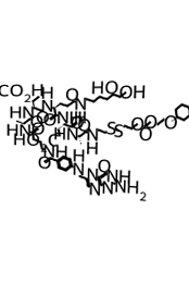 C[C@H](NC(=O)CCCNC(=O)c1ccc(NCc2cnc3nc(N)[nH]c(=O)c3n2)cc1)C(=O)N[C@@H](CCC(=O)O)C(=O)N[C@@H](CCC(=O)NCCCC[C@H](O)CO)C(=O)N[C@@H](CCC(=O)O)C(=O)N[C@@H](C)C(=O)NCCSSCCOC(=O)OCCO[C@H]1CC[C@H](C)CC1